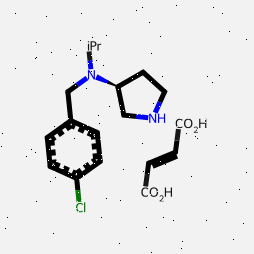 CC(C)N(Cc1ccc(Cl)cc1)[C@H]1CCNC1.O=C(O)C=CC(=O)O